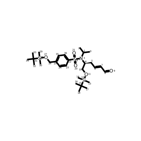 CC(C)N([C@@H](C/C=C/C=O)CO[Si](C)(C)C(C)(C)C)S(=O)(=O)c1ccc(CO[Si](C)(C)C(C)(C)C)cc1